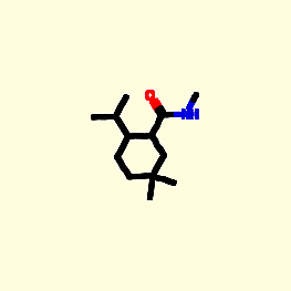 CNC(=O)C1CC(C)(C)CCC1C(C)C